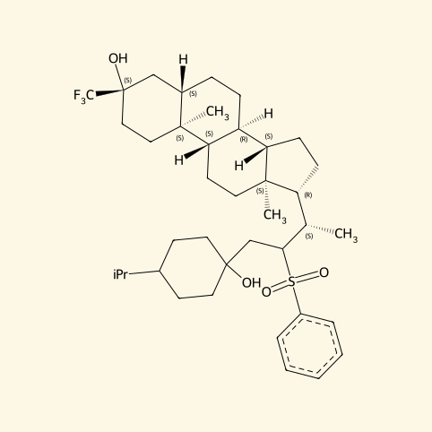 CC(C)C1CCC(O)(CC([C@@H](C)[C@H]2CC[C@H]3[C@@H]4CC[C@H]5C[C@](O)(C(F)(F)F)CC[C@]5(C)[C@H]4CC[C@]23C)S(=O)(=O)c2ccccc2)CC1